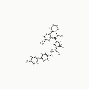 Cn1cc(NC(=O)c2ccccc2-c2ccc(C(F)(F)F)cc2)cc1C(=O)NCc1ccc(-c2ccc(O)cc2)cc1